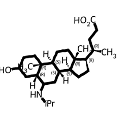 CC(C)NC1C[C@@H]2[C@H](CC[C@]3(C)[C@@H]([C@H](C)CCC(=O)O)CC[C@@H]23)[C@@]2(C)CCC(O)C[C@@H]12